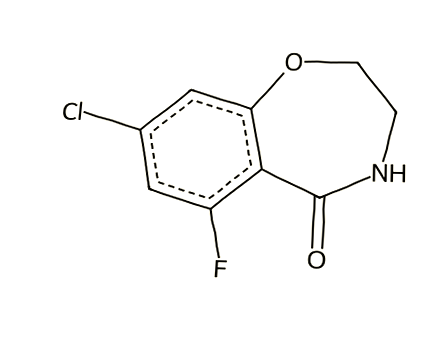 O=C1NCCOc2cc(Cl)cc(F)c21